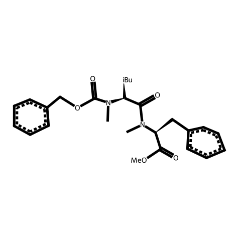 CC[C@H](C)[C@@H](C(=O)N(C)[C@@H](Cc1ccccc1)C(=O)OC)N(C)C(=O)OCc1ccccc1